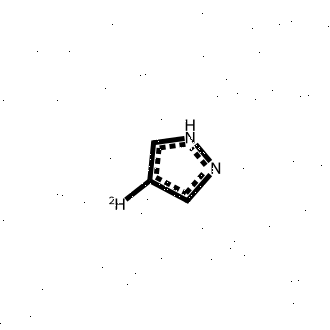 [2H]c1cn[nH]c1